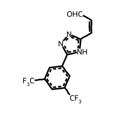 O=C/C=C\c1nnc(-c2cc(C(F)(F)F)cc(C(F)(F)F)c2)[nH]1